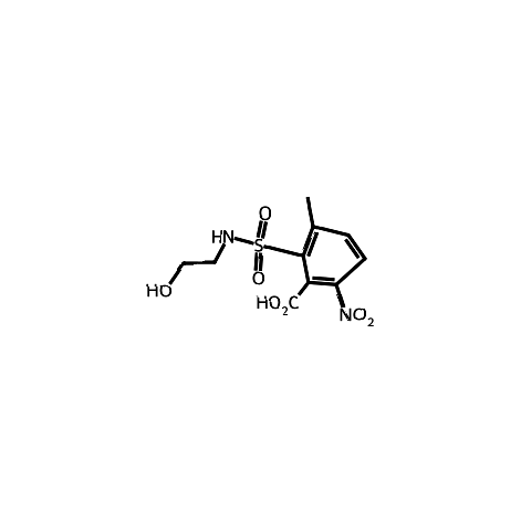 Cc1ccc([N+](=O)[O-])c(C(=O)O)c1S(=O)(=O)NCCO